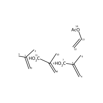 C=C(C)C.C=C(C)C(=O)O.C=C(C)C(=O)O.C=COC(C)=O